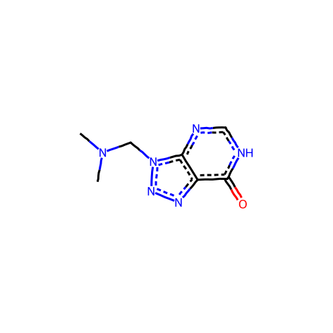 CN(C)Cn1nnc2c(=O)[nH]cnc21